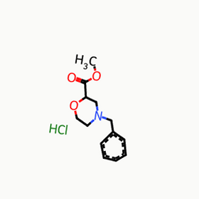 COC(=O)C1CN(Cc2ccccc2)CCO1.Cl